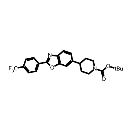 CC(C)(C)OC(=O)N1CCC(c2ccc3nc(-c4ccc(C(F)(F)F)cc4)oc3c2)CC1